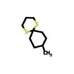 CC1CCC2(CC1)SCCCS2